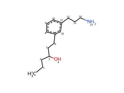 CCCC(O)CCc1cccc(CCCN)c1